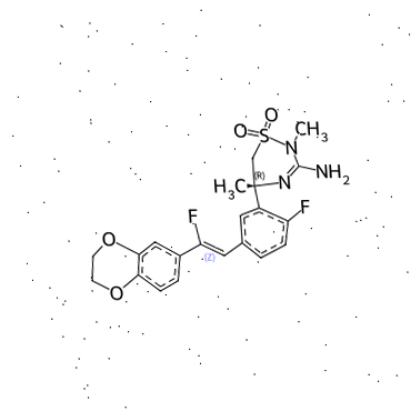 CN1C(N)=N[C@](C)(c2cc(/C=C(\F)c3ccc4c(c3)OCCO4)ccc2F)CS1(=O)=O